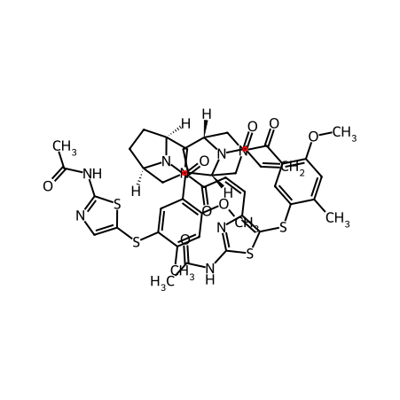 C=CC(=O)N1[C@@H]2CC[C@H]1CN(C(=O)c1cc(Sc3sc(NC(C)=O)nc3/C=C\C(=O)N3C[C@H]4CC[C@@H](C3)N4C(=O)c3cc(Sc4cnc(NC(C)=O)s4)c(C)cc3OC)c(C)cc1OC)C2